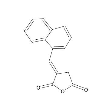 O=C1CC(=Cc2cccc3ccccc23)C(=O)O1